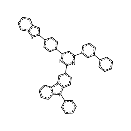 c1ccc(-c2cccc(-c3cc(-c4ccc(-c5cc6ccccc6s5)cc4)nc(-c4ccc5c(c4)c4ccccc4n5-c4ccccc4)n3)c2)cc1